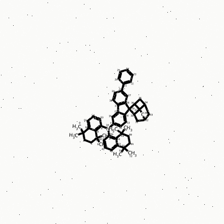 CC1(C)CCC(C)(C)c2c(N(c3ccc4c(c3)-c3ccc(-c5ccccc5)cc3C43C4CC5CC6CC3C64C5)c3cccc4c3C(C)(C)CCC4(C)C)cccc21